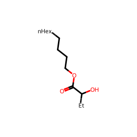 CCCCCCCCCCOC(=O)C(O)CC